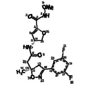 CONC(=O)C1=C[C@@H](NC(=O)C[C@@]2(C)CC(c3cc(F)cc(F)c3)=NO2)CO1